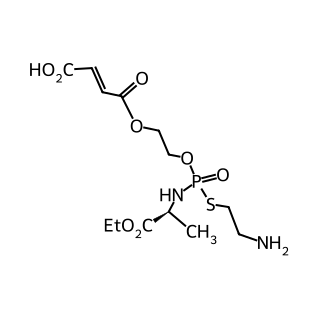 CCOC(=O)[C@H](C)NP(=O)(OCCOC(=O)/C=C/C(=O)O)SCCN